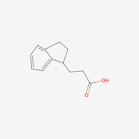 O=C(O)CC[C]1CCc2ccccc21